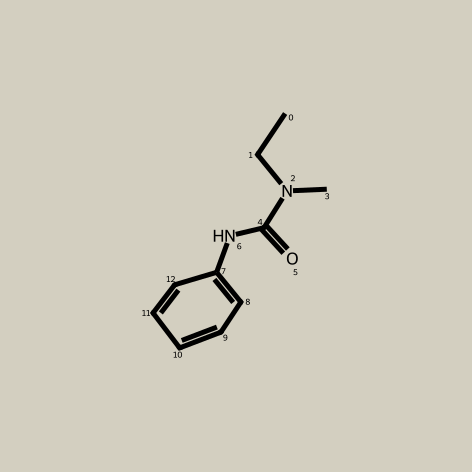 CCN(C)C(=O)Nc1ccccc1